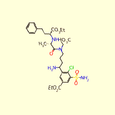 CCOC(=O)c1cc(C(N)CCCN(CC(=O)O)C(=O)[C@H](C)N[C@@H](CCc2ccccc2)C(=O)OCC)c(Cl)c(S(N)(=O)=O)c1